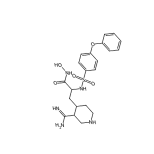 N=C(N)C1CNCCC1CC(NS(=O)(=O)c1ccc(Oc2ccccc2)cc1)C(=O)NO